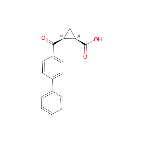 O=C(c1ccc(-c2ccccc2)cc1)[C@H]1C[C@H]1C(=O)O